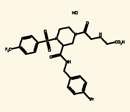 CC(C)c1ccc(CNC(=O)C2CN(C(=O)CNCC(=O)O)CCN2S(=O)(=O)c2ccc(C(F)(F)F)cc2)cc1.Cl